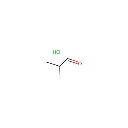 CC(C)C=O.Cl